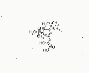 CC(C)(C)c1cc(C=C(O)C(=O)O)cc(C(C)(C)C)c1